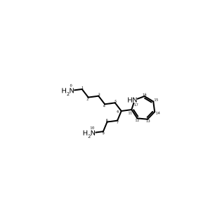 NCCCCCC(CCCN)C1=CC=CC=CN1